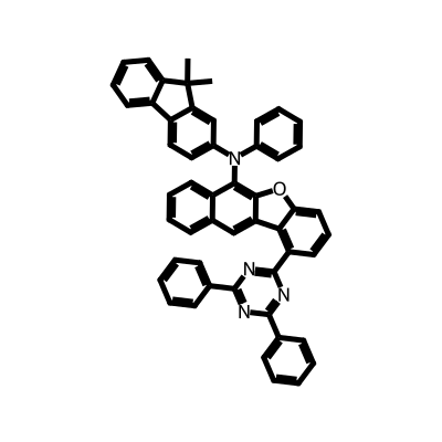 CC1(C)c2ccccc2-c2ccc(N(c3ccccc3)c3c4ccccc4cc4c3oc3cccc(-c5nc(-c6ccccc6)nc(-c6ccccc6)n5)c34)cc21